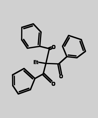 CCC(C(=O)c1ccccc1)(C(=O)c1ccccc1)C(=O)c1ccccc1